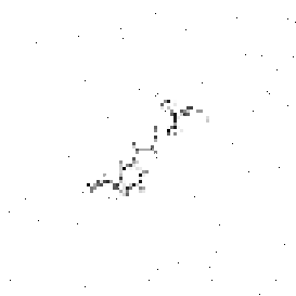 CC(=O)OCCCc1cccc(C#N)n1